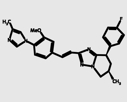 COc1cc(/C=C/c2nc3n(n2)C[C@H](C)C[C@@H]3c2ccc(F)cc2)ccc1-n1cnc(C)c1